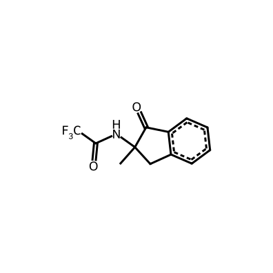 CC1(NC(=O)C(F)(F)F)Cc2ccccc2C1=O